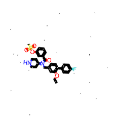 CCOc1cc(CN(C(=O)c2cccc(OS(C)(=O)=O)c2)C2CCNCC2)ccc1-c1ccc(F)cc1